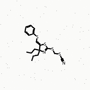 CCCC1(CCC)N=C(SCSC#N)SC1=CSc1ccccc1